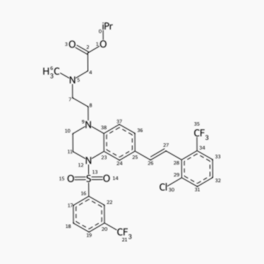 CC(C)OC(=O)CN(C)CCN1CCN(S(=O)(=O)c2cccc(C(F)(F)F)c2)c2cc(/C=C/c3c(Cl)cccc3C(F)(F)F)ccc21